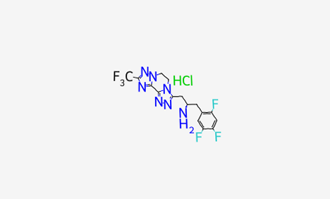 Cl.N[C@H](Cc1cc(F)c(F)cc1F)Cc1nnc2n1CCn1nc(C(F)(F)F)nc1-2